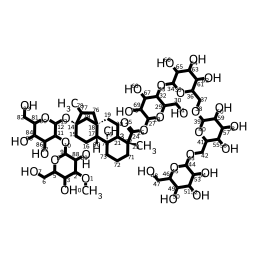 COC1C(O)C(CO)OC(OC2C(O[C@]34CC[C@@H]5[C@](CCC6[C@](C)(C(=O)OC7OC(CO)C(OC8OC(COC9OC(COC%10OC(CO)C(O)C(O)C%10O)C(O)C(O)C9O)C(O)C(O)C8O)C(O)C7O)CCC[C@]65C)(CC3C)C4)OC(CO)C(O)C2O)C1O